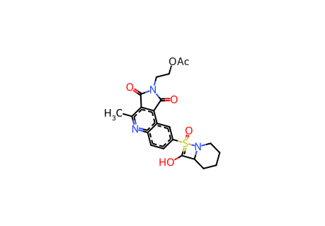 CC(=O)OCCN1C(=O)c2c(C)nc3ccc(S4(=O)=C(O)C5CCCCN54)cc3c2C1=O